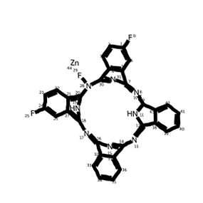 Fc1ccc2c(c1)/C1=N/C3(F)N\C(=N/C4=N\C(=N/c5[nH]c(c6ccc(F)cc56)N(F)C2=N1)c1ccccc14)c1ccccc13.[Zn]